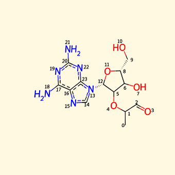 CC(C=O)OC1C(O)[C@@H](CO)O[C@H]1n1cnc2c(N)nc(N)nc21